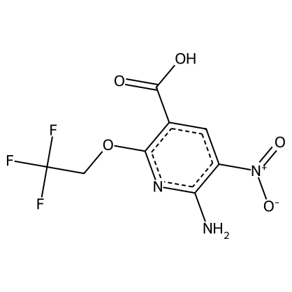 Nc1nc(OCC(F)(F)F)c(C(=O)O)cc1[N+](=O)[O-]